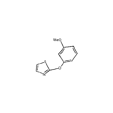 COc1cccc(Oc2nccs2)c1